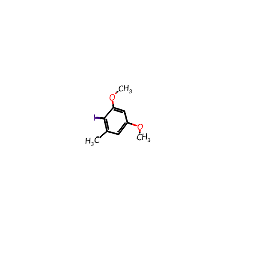 COc1cc(C)c(I)c(OC)c1